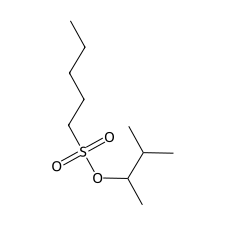 CCCCCS(=O)(=O)OC(C)C(C)C